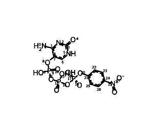 Nc1nc(=O)[nH]cc1OP(=O)(O)OP(=O)(O)OP(=O)(O)Oc1ccc([N+](=O)[O-])cc1